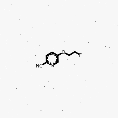 N#Cc1ccc(OCCF)cn1